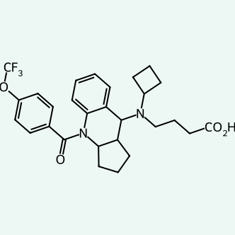 O=C(O)CCCN(C1CCC1)C1c2ccccc2N(C(=O)c2ccc(OC(F)(F)F)cc2)C2CCCC21